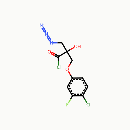 [N-]=[N+]=NCC(O)(COc1ccc(Cl)c(F)c1)C(=O)Cl